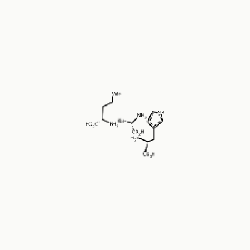 CC[C@H](C)[C@H](N)C(=O)O.CSCC[C@H](N)C(=O)O.N[C@@H](Cc1c[nH]cn1)C(=O)O